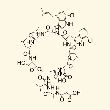 CC(C)=CCc1ccc(Cl)c2[nH]cc(CC3NC(=O)C(Cc4c[nH]c5c(Cl)cccc45)NC(=O)C4CCCN4C(=O)C(CS(=O)(=O)O)NC(=O)C(NC(=O)C(NC(=O)C(C)NC(=O)CC(=O)O)C(C)C)COC(=O)C(CO)NC(=O)C(CC(C)C)NC(=O)C(C(C)C)NC3=O)c12